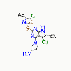 CCc1[nH]c2nc(Sc3nc(C(C)=O)c(Cl)s3)nc(N3CCC(N)C3)c2c1Cl